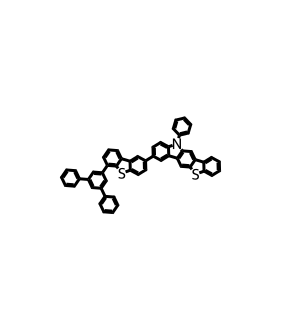 c1ccc(-c2cc(-c3ccccc3)cc(-c3cccc4c3sc3ccc(-c5ccc6c(c5)c5cc7sc8ccccc8c7cc5n6-c5ccccc5)cc34)c2)cc1